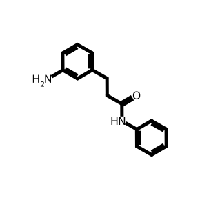 Nc1cccc(CCC(=O)Nc2ccccc2)c1